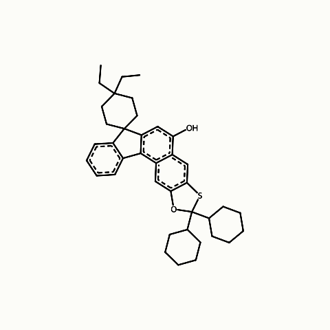 CCC1(CC)CCC2(CC1)c1ccccc1-c1c2cc(O)c2cc3c(cc12)OC(C1CCCCC1)(C1CCCCC1)S3